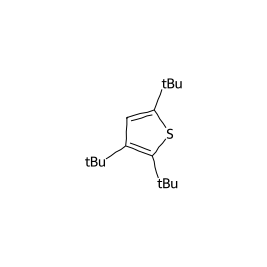 CC(C)(C)c1cc(C(C)(C)C)c(C(C)(C)C)s1